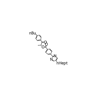 CCCCCCCc1cnc(-c2ccc(C(=O)OC(C)C(=O)c3ccc(CCCC)cc3)cc2)nc1